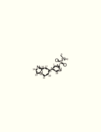 CN(C)S(=O)(=O)n1cc(-c2ccn3ccnc3c2)cn1